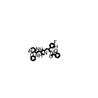 CN1CCc2[nH]c(-c3ccnc(CC(CNC(=O)c4ccccc4O)c4ccc(F)cc4)c3)c(Nc3ccccc3)c2C1=O